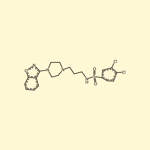 O=S(=O)(NCCCN1CCN(c2noc3ccccc23)CC1)c1ccc(Cl)c(Cl)c1